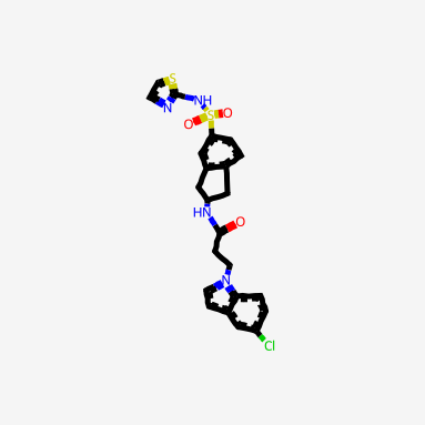 O=C(CCn1ccc2cc(Cl)ccc21)NC1Cc2ccc(S(=O)(=O)Nc3nccs3)cc2C1